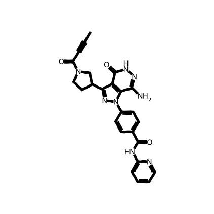 CC#CC(=O)N1CCC(c2nn(-c3ccc(C(=O)Nc4ccccn4)cc3)c3c(N)n[nH]c(=O)c23)C1